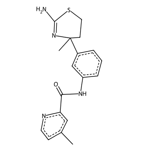 Cc1ccnc(C(=O)Nc2cccc(C3(C)CCSC(N)=N3)c2)c1